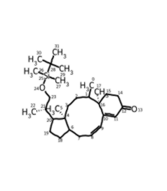 CC1CC[C@@]2(C)C(C/C=C\C3=CC(=O)CC[C@@]31C)CCC2[C@H](C)CO[Si](C)(C)C(C)(C)C